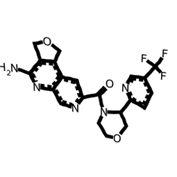 Nc1nc2cnc(C(=O)N3CCOCC3c3ccc(C(F)(F)F)cn3)cc2c2c1COC2